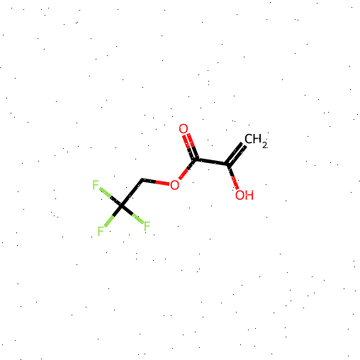 C=C(O)C(=O)OCC(F)(F)F